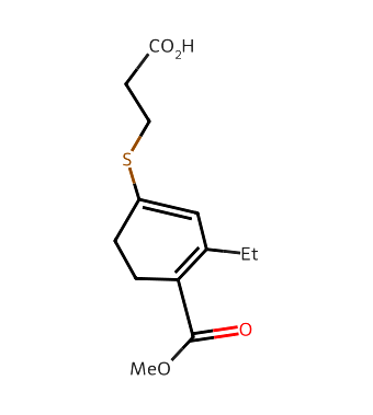 CCC1=C(C(=O)OC)CCC(SCCC(=O)O)=C1